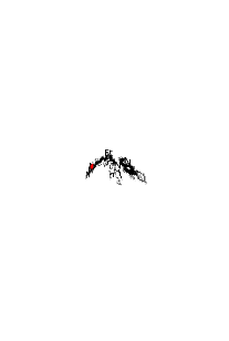 CCN(CCCC(C)Nc1ccnc2cc(Cl)ccc12)C(=O)CCCCN=[N+]=[N-]